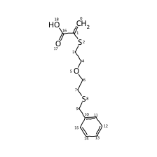 C=C(SCCOCCSCc1ccccc1)C(=O)O